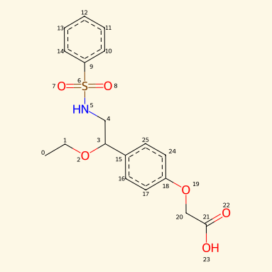 CCOC(CNS(=O)(=O)c1ccccc1)c1ccc(OCC(=O)O)cc1